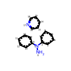 NN(c1ccccc1)c1ccccc1.c1ccncc1